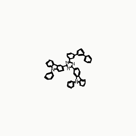 c1ccc(-c2cccc(-c3cccc(-c4nc(-c5ccc6c(c5)c5ccccc5n6-c5ccccc5)nc(-c5ccc6c7ccccc7n(-c7ccccc7)c6c5)n4)c3)c2)cc1